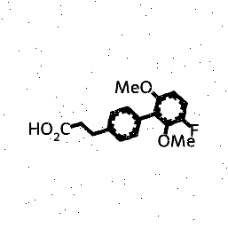 COc1ccc(F)c(OC)c1-c1ccc(CCC(=O)O)cc1